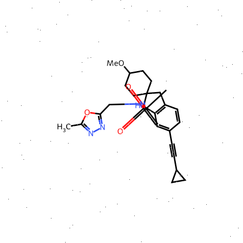 COC1CCC2(CC1)Cc1ccc(C#CC3CC3)cc1C21NC(=O)N(Cc2nnc(C)o2)C1=O